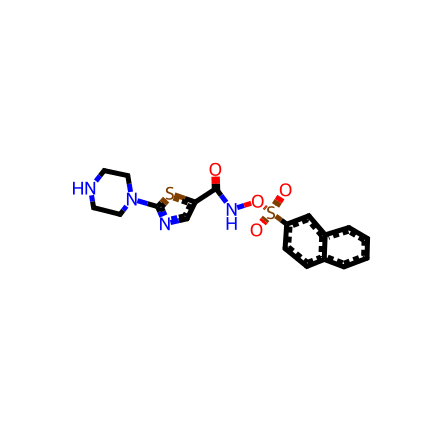 O=C(NOS(=O)(=O)c1ccc2ccccc2c1)c1cnc(N2CCNCC2)s1